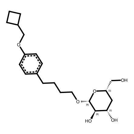 OC[C@@H]1C[C@H](O)[C@@H](O)[C@H](OCCCCc2ccc(OCC3CCC3)cc2)O1